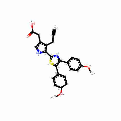 C#CCc1c(CC(=O)O)c[nH]c1-c1nc(-c2ccc(OC)cc2)c(-c2ccc(OC)cc2)s1